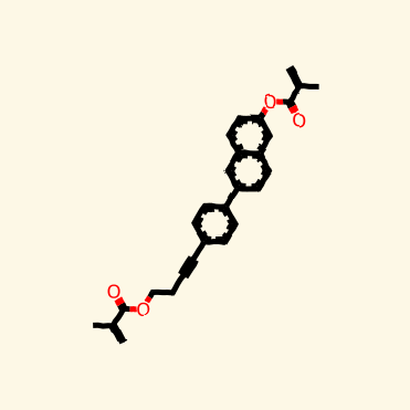 C=C(C)C(=O)OCCC#Cc1ccc(-c2ccc3cc(OC(=O)C(=C)C)ccc3c2)cc1